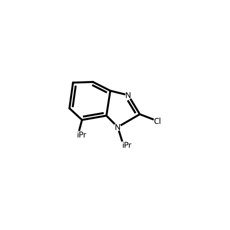 CC(C)c1cccc2nc(Cl)n(C(C)C)c12